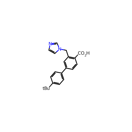 CC(C)(C)c1ccc(-c2ccc(C(=O)O)c(Cn3ccnc3)c2)cc1